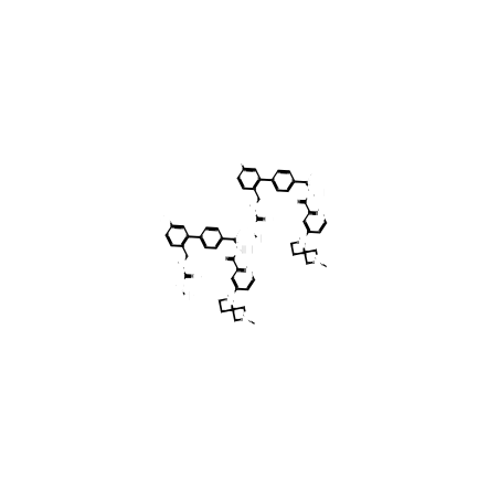 C[C@@H](NC(=O)c1cc(N2CCC23CN(C)C3)ccn1)c1ccc(-c2cc(C(F)(F)F)ccc2CNC(=O)OC(C)(C)C)cc1.C[C@@H](NC(=O)c1cc(N2CCC23CN(C)C3)ccn1)c1ccc(-c2cc(C(F)(F)F)ccc2CNC(=O)OC(C)(C)C)cc1